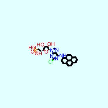 O=P(O)(O)CC[C@H]1O[C@@H](n2cnc3c(Nc4ccc5ccc6cccc7ccc4c5c67)nc(Cl)nc32)C(O)C1O